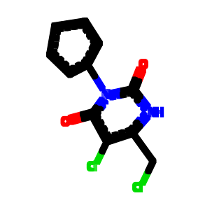 O=c1[nH]c(CCl)c(Cl)c(=O)n1-c1ccccc1